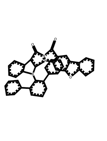 O=c1c2c(n3c4cc5oc6ccccc6c5cc4c(=O)n13)B(c1c(-c3ccccc3)cccc1-c1ccccc1)c1ccccc1-2